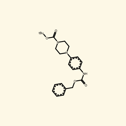 CC(C)(C)OC(=O)N1CCN(c2ccc(NC(=O)OCc3ccccc3)cc2)CC1